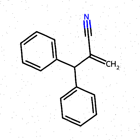 C=C(C#N)C(c1ccccc1)c1ccccc1